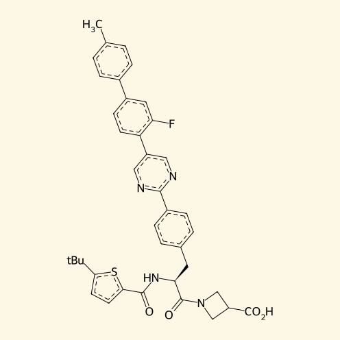 Cc1ccc(-c2ccc(-c3cnc(-c4ccc(C[C@H](NC(=O)c5ccc(C(C)(C)C)s5)C(=O)N5CC(C(=O)O)C5)cc4)nc3)c(F)c2)cc1